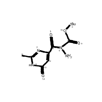 Cc1nc(C(=O)N(N)C(=O)OC(C)(C)C)cc(=O)[nH]1